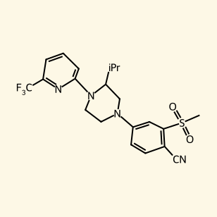 CC(C)C1CN(c2ccc(C#N)c(S(C)(=O)=O)c2)CCN1c1cccc(C(F)(F)F)n1